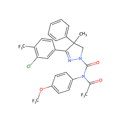 CC1(c2ccccc2)CN(C(=O)N(C(=O)C(F)(F)F)c2ccc(OC(F)(F)F)cc2)N=C1c1ccc(C(F)(F)F)c(Cl)c1